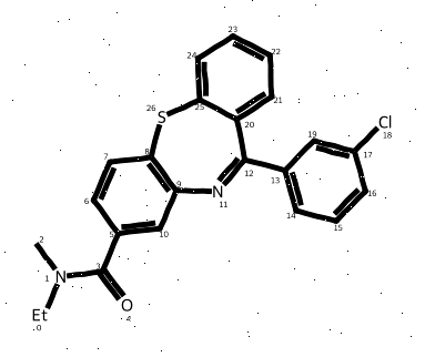 CCN(C)C(=O)c1ccc2c(c1)N=C(c1cccc(Cl)c1)c1ccccc1S2